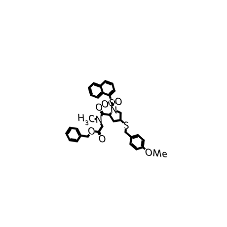 COc1ccc(CSC2CC(C(=O)N(C)CC(=O)OCc3ccccc3)N(S(=O)(=O)c3cccc4ccccc34)C2)cc1